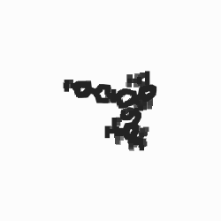 Cl.O=C(Cc1cc(C(F)(F)F)cc(C(F)(F)F)c1)N[C@]1(c2ccccc2)CC[C@@H](N2CCC(c3ccc(F)cc3)CC2)CC1